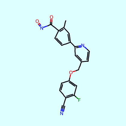 Cc1cc(-c2cc(COc3ccc(C#N)c(F)c3)ccn2)ccc1C(=O)N=O